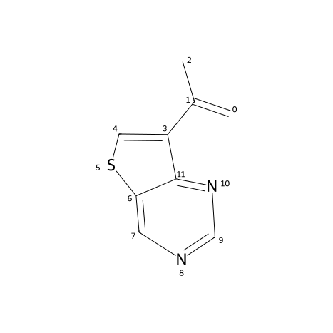 C=C(C)c1csc2cncnc12